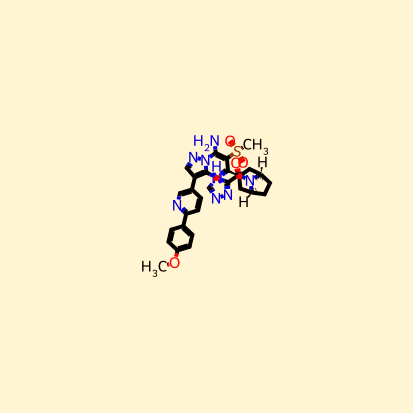 COc1ccc(-c2ccc(-c3cnn4c(N)c(S(C)(=O)=O)c([C@H]5C[C@H]6CC[C@@H](C5)N6C(=O)c5nnc[nH]5)nc34)cn2)cc1